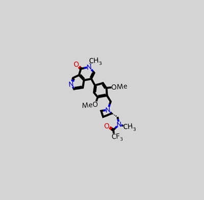 COc1cc(-c2cn(C)c(=O)c3cnccc23)cc(OC)c1CN1CC[C@H]1CN(C)C(=O)C(F)(F)F